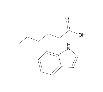 CCCCCC(=O)O.c1ccc2[nH]ccc2c1